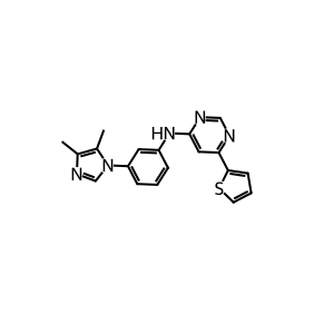 Cc1ncn(-c2cccc(Nc3cc(-c4cccs4)ncn3)c2)c1C